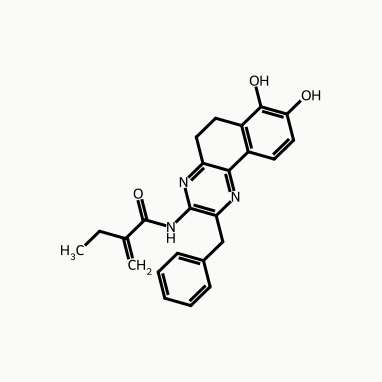 C=C(CC)C(=O)Nc1nc2c(nc1Cc1ccccc1)-c1ccc(O)c(O)c1CC2